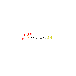 O=P(O)(O)CCCCCCCS